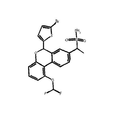 CC(c1ccc2c(c1)C(c1ccc(Br)s1)Oc1cccc(OC(F)F)c1-2)S(N)(=O)=O